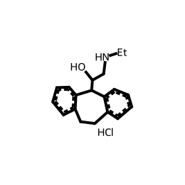 CCNCC(O)C1c2ccccc2CCc2ccccc21.Cl